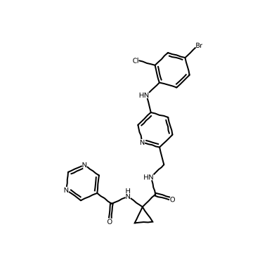 O=C(NC1(C(=O)NCc2ccc(Nc3ccc(Br)cc3Cl)cn2)CC1)c1cncnc1